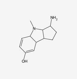 CN1C2C=CC(O)=CC2C2CCC(N)C21